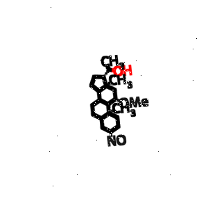 CO[C@H]1C[C@@]2(C)C(CC[C@@H]2C(C)O)C2CCC3C[C@@H](N=O)CC[C@]3(C)C21